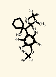 [2H]c1c([2H])c(C(C2(O)CCCCC2)C([2H])([2H])N(C)C([2H])([2H])[2H])c([2H])c([2H])c1OC([2H])([2H])[2H]